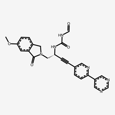 COc1ccc2c(c1)C(=O)N(C[C@@H](C#Cc1ccc(-c3cncnc3)nc1)NC(=O)NC=O)C2